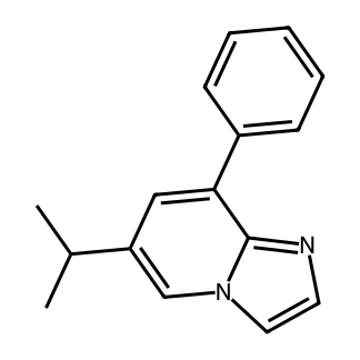 CC(C)c1cc(-c2ccccc2)c2nccn2c1